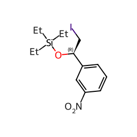 CC[Si](CC)(CC)O[C@@H](CI)c1cccc([N+](=O)[O-])c1